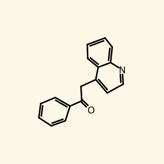 O=C(Cc1ccnc2ccccc12)c1ccccc1